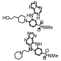 CNS(=O)(=O)c1ccc(N2CCC(CCO)CC2)c(Nc2[nH]cnc3ncnc2-3)c1.CNS(=O)(=O)c1ccc(OCCN2CCCCC2)c(Nc2[nH]cnc3ncnc2-3)c1